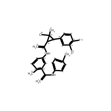 C=C(Nc1ccc(C)cc1)c1cc(NC(=C)C2C(c3ccc(F)c(Cl)c3)C2(C)Cl)ccc1C